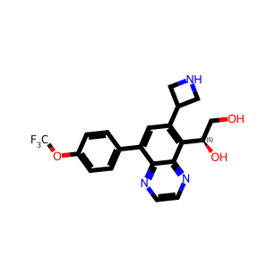 OC[C@@H](O)c1c(C2CNC2)cc(-c2ccc(OC(F)(F)F)cc2)c2nccnc12